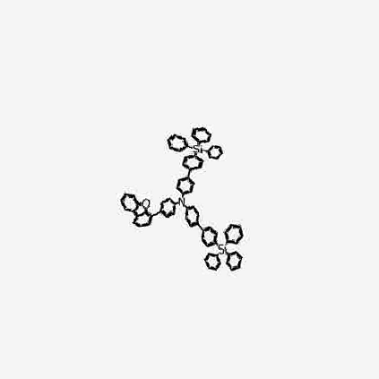 c1ccc([Si](c2ccccc2)(c2ccccc2)c2ccc(-c3ccc(N(c4ccc(-c5ccc([Si](c6ccccc6)(c6ccccc6)c6ccccc6)cc5)cc4)c4ccc(-c5cccc6c5oc5ccccc56)cc4)cc3)cc2)cc1